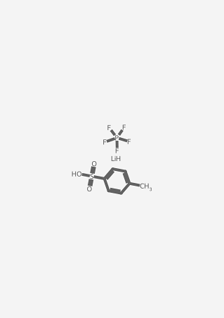 Cc1ccc(S(=O)(=O)O)cc1.FP(F)(F)(F)F.[LiH]